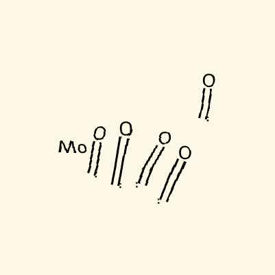 [C]=O.[C]=O.[C]=O.[C]=O.[C]=O.[Mo]